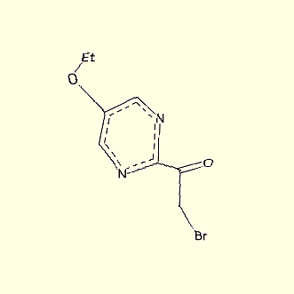 CCOc1cnc(C(=O)CBr)nc1